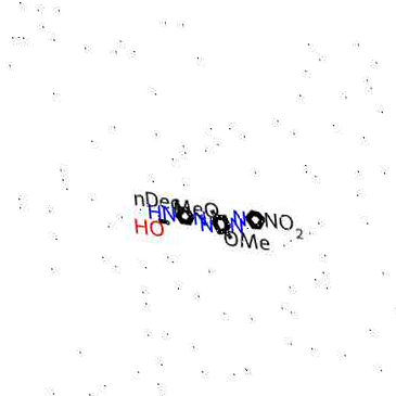 CCCCCCCCCCc1cc(/N=N/c2cc(OC)c(/N=N/c3ccc([N+](=O)[O-])cc3)cc2OC)ccc1NCCO